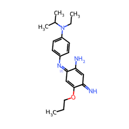 CCCOC1=C/C(=N/c2ccc(N(CC)C(C)C)cc2)C(N)=CC1=N